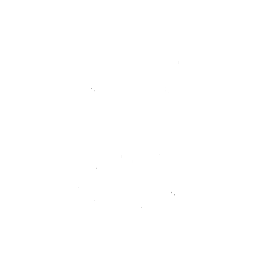 CC(C)(C#N)CC1C(CC(C)(C#N)C(C)(C)C)CCCC1CC(C)(C#N)C(C)(C)C